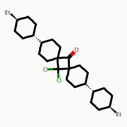 CC[C@H]1CC[C@H](C2CCC3(CC2)C(=O)C2(CCC([C@H]4CC[C@H](CC)CC4)CC2)C3(Cl)Cl)CC1